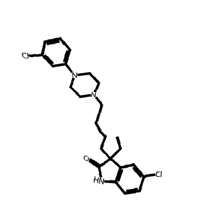 CCC1(CCCCN2CCN(c3cccc(Cl)c3)CC2)C(=O)Nc2ccc(Cl)cc21